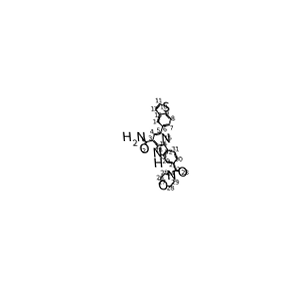 NC(=O)c1cc(-c2ccc3sccc3c2)nc2c1[nH]c1cc(C(=O)N3CCOCC3)ccc12